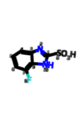 O=S(=O)(O)c1nc2cccc(F)c2[nH]1